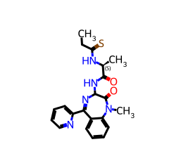 CCC(=S)N[C@@H](C)C(=O)NC1N=C(c2ccccn2)c2ccccc2N(C)C1=O